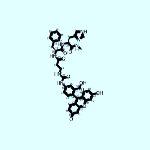 CNC(=O)[C@H](Cc1c[nH]cn1)NC(=O)[C@H](Cc1ccccc1)NC(=O)CCNC(=O)Nc1ccc(-c2c3ccc(=O)cc-3oc3cc(O)ccc23)c(C(=O)O)c1